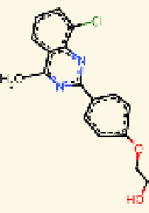 Cc1nc(-c2ccc(OCCO)cc2)nc2c(Cl)cccc12